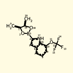 C=C1OB(c2cc3cccc(OC(F)(F)F)c3[nH]2)OC1=C